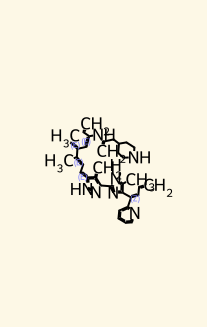 C=C/C=C(/c1ccccn1)c1nc(-c2n[nH]/c(=C/C=C(C)/C(/C=C(\C=C)NC(=C)CC3CCNCC3)=C/C)c2=C)[nH]c1C